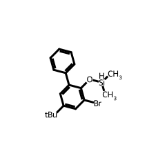 C[SiH](C)Oc1c(Br)cc(C(C)(C)C)cc1-c1ccccc1